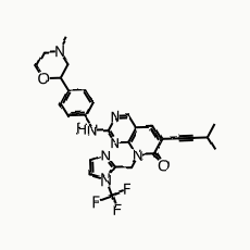 CC(C)C#Cc1cc2cnc(Nc3ccc(C4CN(C)CCO4)cc3)nc2n(Cc2nccn2C(F)(F)F)c1=O